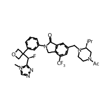 CC(=O)N1CCN(Cc2cc3c(c(C(F)(F)F)c2)CN(c2cccc(C4([C@@H](F)c5nncn5C)COC4)c2)C3=O)[C@@H](C(C)C)C1